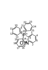 O=[N+]([O-])c1ccccc1[P+](c1ccccc1)(c1ccccc1)c1ccccc1